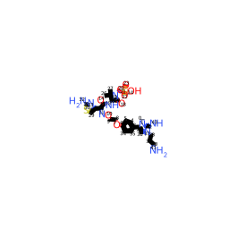 Cn1c(-c2ccc(OCCO/N=C(\C(=O)N[C@@H]3C(=O)N(OS(=O)(=O)O)C3(C)C)c3csc(N)n3)cc2)cn(CCCN)c1=N